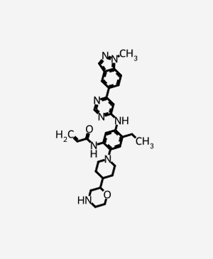 C=CC(=O)Nc1cc(Nc2cc(-c3ccc4c(cnn4C)c3)ncn2)c(CC)cc1N1CCC(C2CNCCO2)CC1